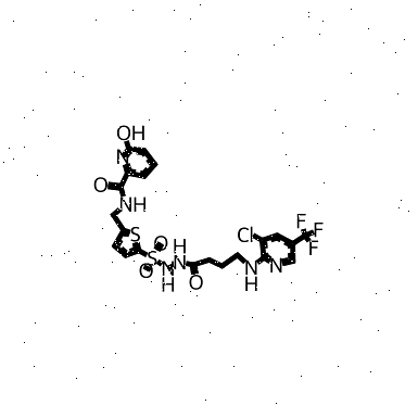 O=C(CCCNc1ncc(C(F)(F)F)cc1Cl)NNS(=O)(=O)c1ccc(CNC(=O)c2cccc(O)n2)s1